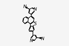 N#Cc1cncc(-c2ccc3c(c2)sc2cc(-c4cncc(C#N)c4)c4ccccc4c23)c1